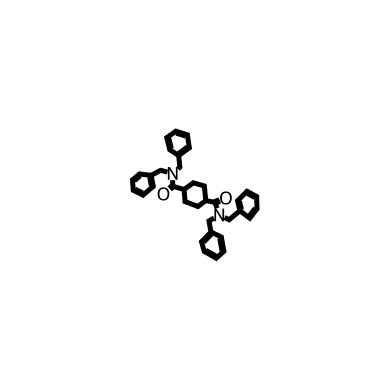 O=C(C1CCC(C(=O)N(Cc2ccccc2)Cc2ccccc2)CC1)N(Cc1ccccc1)Cc1ccccc1